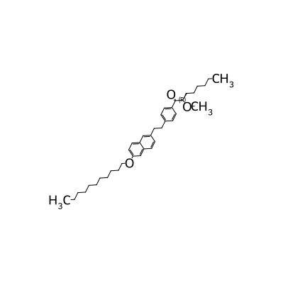 CCCCCCCCCCCOc1ccc2cc(CCc3ccc(C(=O)[C@@H](CCCCCC)OC)cc3)ccc2c1